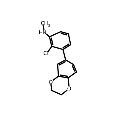 CNc1cccc(-c2ccc3c(c2)OCCO3)c1Cl